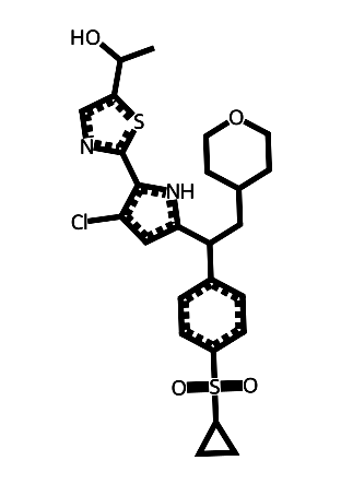 CC(O)c1cnc(-c2[nH]c(C(CC3CCOCC3)c3ccc(S(=O)(=O)C4CC4)cc3)cc2Cl)s1